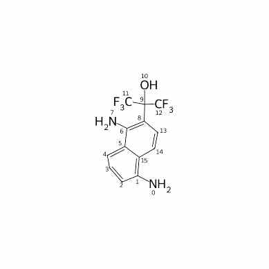 Nc1cccc2c(N)c(C(O)(C(F)(F)F)C(F)(F)F)ccc12